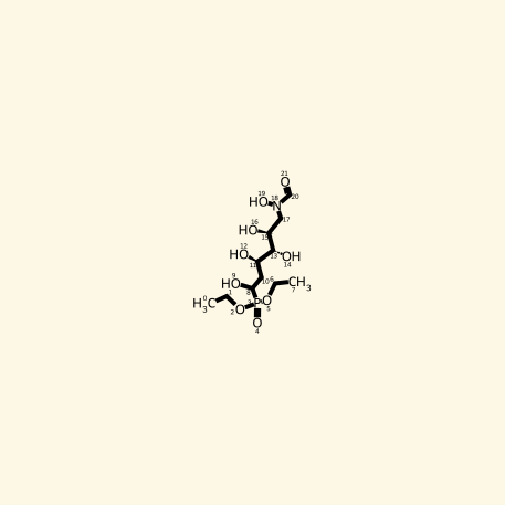 CCOP(=O)(OCC)C(O)C[C@@H](O)[C@@H](O)[C@@H](O)CN(O)C=O